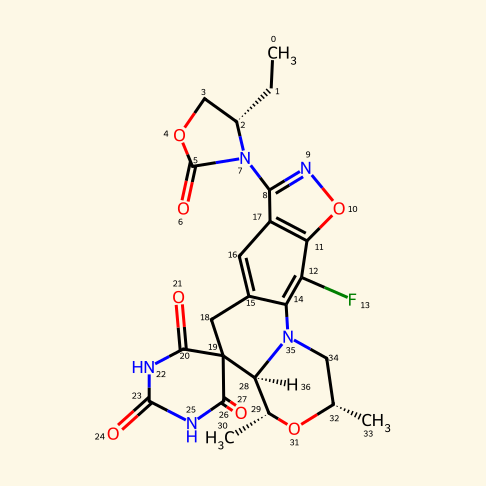 CC[C@H]1COC(=O)N1c1noc2c(F)c3c(cc12)CC1(C(=O)NC(=O)NC1=O)[C@@H]1[C@@H](C)O[C@@H](C)CN31